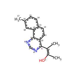 C/C(O)=C(\C)c1ncnc2c1ccc1ccc(C)cc12